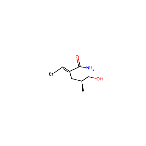 CC/C=C(\C[C@H](C)CO)C(N)=O